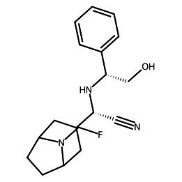 N#C[C@@H](N[C@@H](CO)c1ccccc1)C1CC2CCC(C1)N2CF